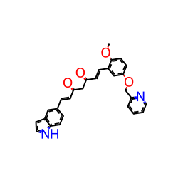 COc1ccc(OCc2ccccn2)cc1/C=C/C(=O)CC(=O)/C=C/c1ccc2[nH]ccc2c1